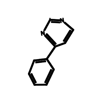 [c]1nccc(-c2ccccc2)n1